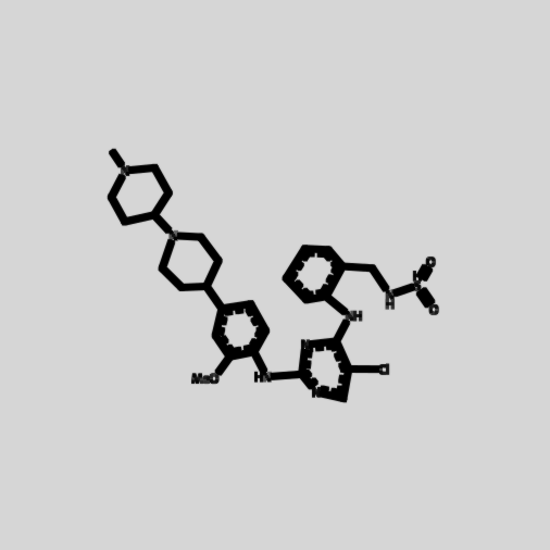 COc1cc(C2CCN(C3CCN(C)CC3)CC2)ccc1Nc1ncc(Cl)c(Nc2ccccc2CN[SH](=O)=O)n1